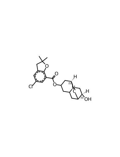 CC1(C)Cc2cc(Cl)cc(C(=O)OC3CC4CC5C[C@@H](C3)N4C[C@H]5O)c2O1